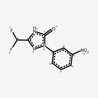 O=c1[nH]c(C(F)F)nn1-c1cccc([N+](=O)[O-])c1